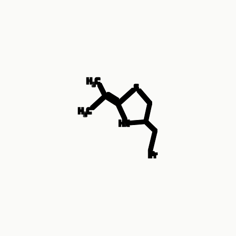 CC(C)=C1NC(CC(C)C)CS1